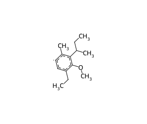 CCc1c[c]c(C)c(C(C)CC)c1OC